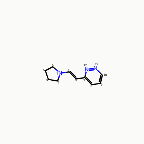 C(=CN1CCCC1)c1cccnn1